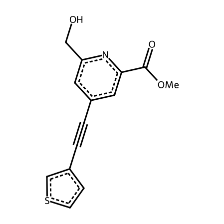 COC(=O)c1cc(C#Cc2ccsc2)cc(CO)n1